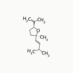 C=C(C)[C@@H]1CC[C@](C)(/C=C/C(C)C)O1